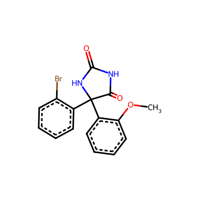 COc1ccccc1C1(c2ccccc2Br)NC(=O)NC1=O